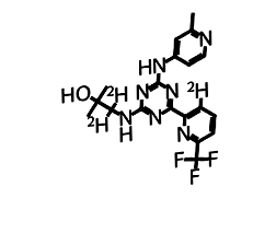 [2H]c1ccc(C(F)(F)F)nc1-c1nc(Nc2ccnc(C)c2)nc(NC([2H])([2H])C(C)(C)O)n1